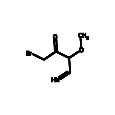 COC(C=N)C(=O)CBr